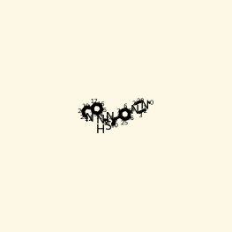 CN1CCN(c2ccc(-c3csc(Nc4cccc5cccnc45)n3)cc2)CC1